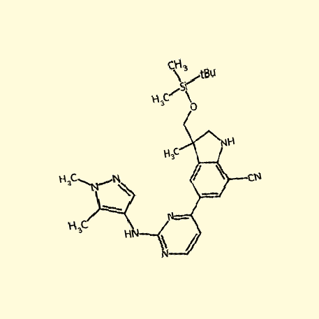 Cc1c(Nc2nccc(-c3cc(C#N)c4c(c3)C(C)(CO[Si](C)(C)C(C)(C)C)CN4)n2)cnn1C